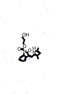 Cc1cc(C)c(/C=C2\C(=O)N(C(=O)OCCCO)c3ccccc32)[nH]1